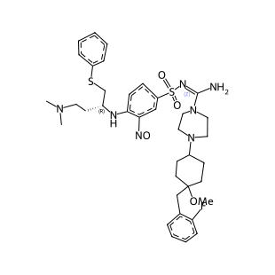 COC1(Cc2ccccc2F)CCC(N2CCN(/C(N)=N\S(=O)(=O)c3ccc(N[C@H](CCN(C)C)CSc4ccccc4)c(N=O)c3)CC2)CC1